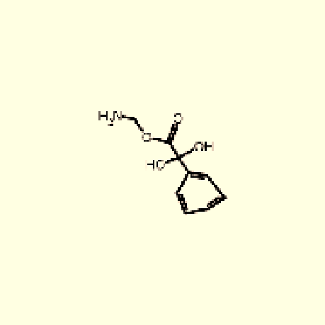 NCOC(=O)C(O)(O)c1ccccc1